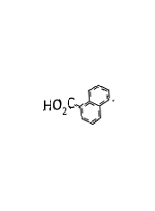 O=C(O)c1cccc2[c]cccc12